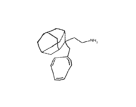 NCCC1(Cc2ccccc2)C2CC3CC(C2)CC1C3